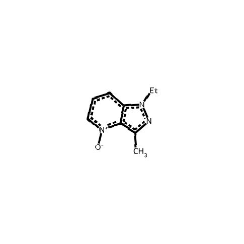 CCn1nc(C)c2c1ccc[n+]2[O-]